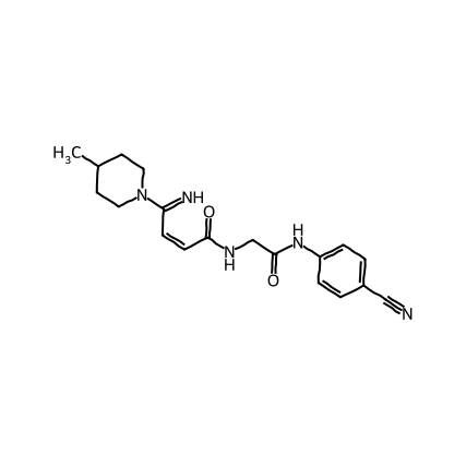 CC1CCN(C(=N)/C=C\C(=O)NCC(=O)Nc2ccc(C#N)cc2)CC1